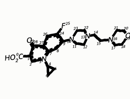 O=C(O)c1cn(C2CC2)c2cc(N3CCN(CCN4CCOCC4)CC3)c(F)cc2c1=O